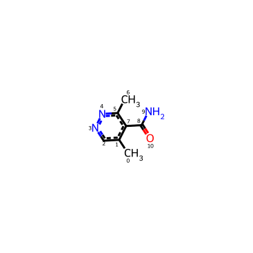 Cc1cnnc(C)c1C(N)=O